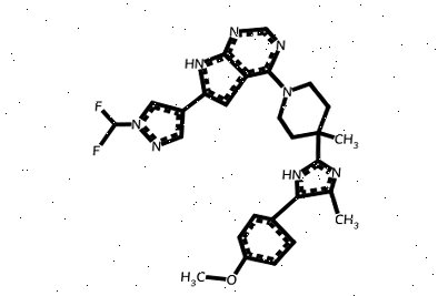 COc1ccc(-c2[nH]c(C3(C)CCN(c4ncnc5[nH]c(-c6cnn(C(F)F)c6)cc45)CC3)nc2C)cc1